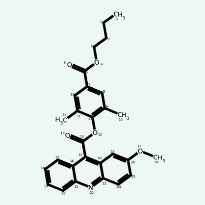 CCCCOC(=O)c1cc(C)c(OC(=O)c2c3ccccc3nc3ccc(OC)cc23)c(C)c1